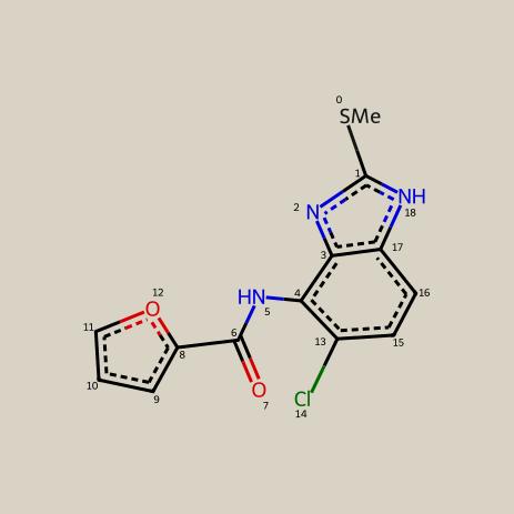 CSc1nc2c(NC(=O)c3ccco3)c(Cl)ccc2[nH]1